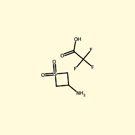 NC1CS(=O)(=O)C1.O=C(O)C(F)(F)F